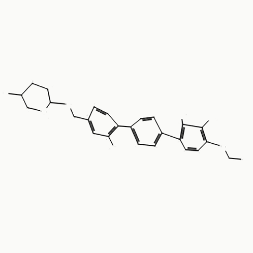 CCOc1ccc(-c2ccc(-c3ccc(COC4CCC(C)CO4)cc3F)cc2)c(F)c1F